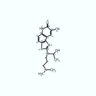 CC(O)N(CCCN(C)C)c1nc2c(ccc3[nH]c(=O)c(C#N)cc32)s1